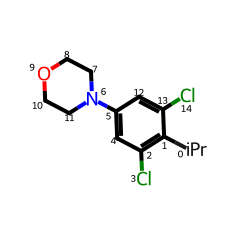 CC(C)c1c(Cl)cc(N2CCOCC2)cc1Cl